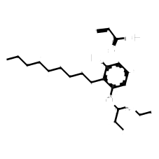 C=CC(=O)O.CCCCCCCCCc1c(O)cccc1OC(CC)OCC